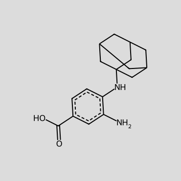 Nc1cc(C(=O)O)ccc1NC12CC3CC(CC(C3)C1)C2